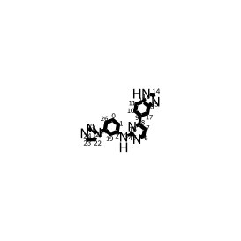 c1cc(Nc2nccc(-c3ccc4[nH]cnc4c3)n2)cc(-n2ccnn2)c1